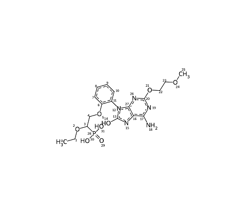 CCOC(COc1ccccc1-n1c(O)nc2c(N)nc(OCCOC)nc21)P(=O)(O)O